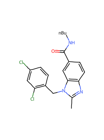 CCCCNC(=O)c1ccc2nc(C)n(Cc3ccc(Cl)cc3Cl)c2c1